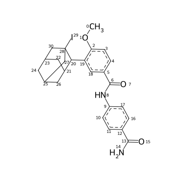 COc1ccc(C(=O)Nc2ccc(C(N)=O)cc2)cc1C1C2CC3CC(C2)CC1(I)C3